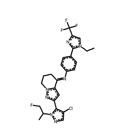 CCn1cc(C(F)(F)F)nc1-c1ccc(N=C2CCCn3nc(-c4c(Cl)cnn4C(C)CF)cc32)cc1